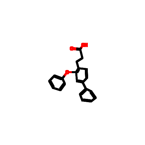 O=C(O)CCc1ccc(-c2ccccc2)cc1Oc1ccccc1